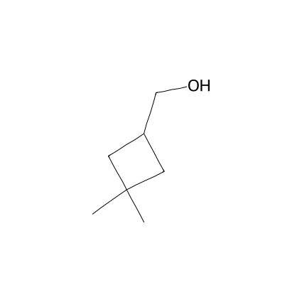 CC1(C)CC(CO)C1